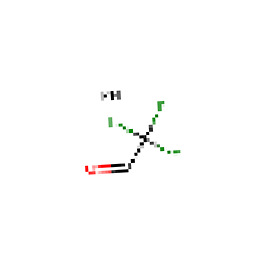 O=CC(F)(F)F.[KH]